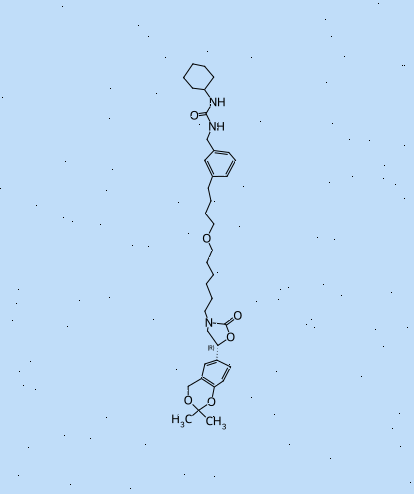 CC1(C)OCc2cc([C@@H]3CN(CCCCCCOCCCCc4cccc(CNC(=O)NC5CCCCC5)c4)C(=O)O3)ccc2O1